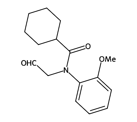 COc1ccccc1N(CC=O)C(=O)C1CCCCC1